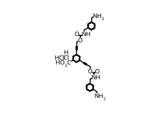 Cl.Cl.NCc1cccc(CNC(=O)OCC#Cc2cc(C#CCOC(=O)NCc3cccc(CN)c3)cc(C(=O)O)c2)c1